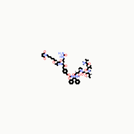 CC[C@H](C)[C@@H]([C@@H](CC(=O)N1CCC[C@H]1[C@H](OC)[C@@H](C)C(=O)N[C@@H](c1ccccc1)[C@@H](NC(=O)OCc1ccc(CC(=O)[C@H](CCCNC(N)=O)NC(=O)[C@@H](CC(=O)CCCCCN2C(=O)C=CC2=O)C(C)C)cc1)c1ccccc1)OC)N(C)C(=O)[C@@H](CC(=O)[C@H](C(C)C)N(C)C)C(C)C